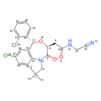 CC(C)(C)CN1C(=O)[C@H](CC(=O)NCC#N)O[C@@H](c2ccccc2Cl)c2cc(Cl)ccc21